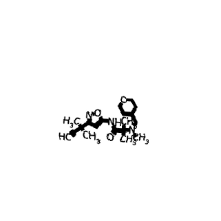 C#CC(C)(C)c1cc(NC(=O)C(C)(C)N(C)CC2CCOCC2)on1